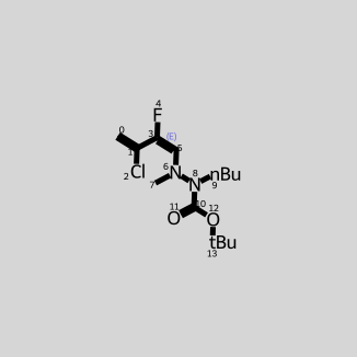 C=C(Cl)/C(F)=C\N(C)N(CCCC)C(=O)OC(C)(C)C